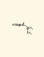 CCCCCOC(C)CCCC=Cc1ccc(-c2ccc(-c3ccc(O)cc3)nc2)cc1F